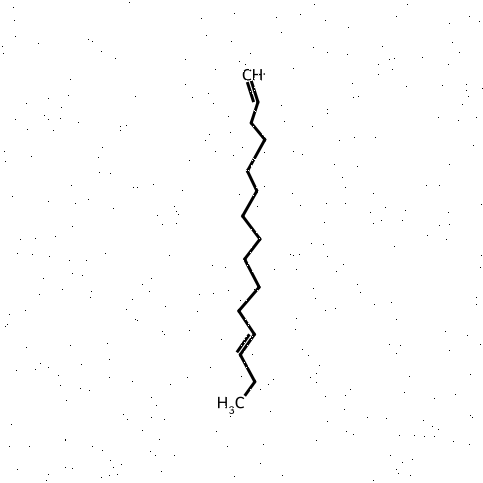 [CH]=CCCCCCCCCCC=CCC